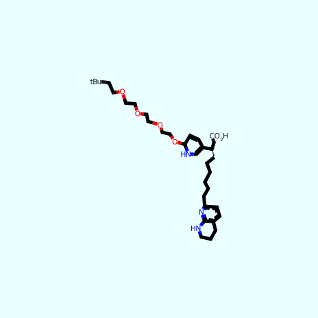 CC(C)(C)CCOCCOCCOCCOC1C=CC([C@@H](CCCCCCc2ccc3c(n2)NCCC3)CC(=O)O)=CN1